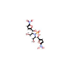 O=[N+]([O-])c1ccc(COP(=O)(OCc2ccc([N+](=O)[O-])o2)N(CCBr)CCBr)o1